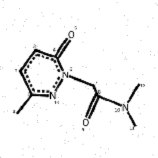 Cc1ccc(=O)n(CC(=O)N(C)C)n1